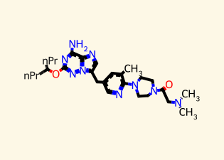 CCCC(CCC)Oc1nc(N)c2ncc(Cc3cnc(N4CCN(C(=O)CN(C)C)CC4)c(C)c3)n2n1